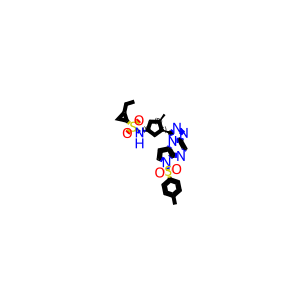 CCC1CC1S(=O)(=O)N[C@H]1C[C@@H](C)[C@@H](c2nnc3cnc4c(ccn4S(=O)(=O)c4ccc(C)cc4)n23)C1